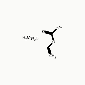 C=COC(=O)CCC.O.[MgH2]